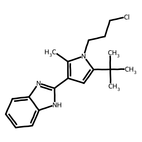 Cc1c(-c2nc3ccccc3[nH]2)cc(C(C)(C)C)n1CCCCl